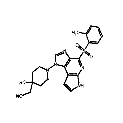 Cc1ccccc1S(=O)(=O)c1nc2[nH]ccc2c2c1ncn2N1CCC(O)(CC#N)CC1